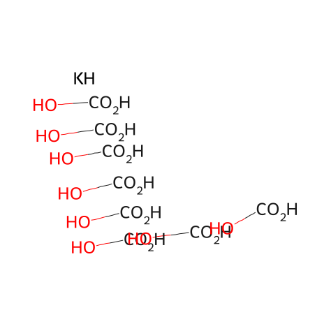 O=C(O)O.O=C(O)O.O=C(O)O.O=C(O)O.O=C(O)O.O=C(O)O.O=C(O)O.O=C(O)O.[KH]